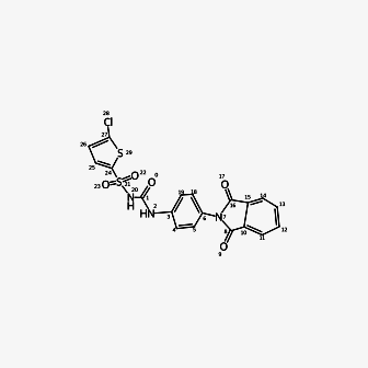 O=C(Nc1ccc(N2C(=O)c3ccccc3C2=O)cc1)NS(=O)(=O)c1ccc(Cl)s1